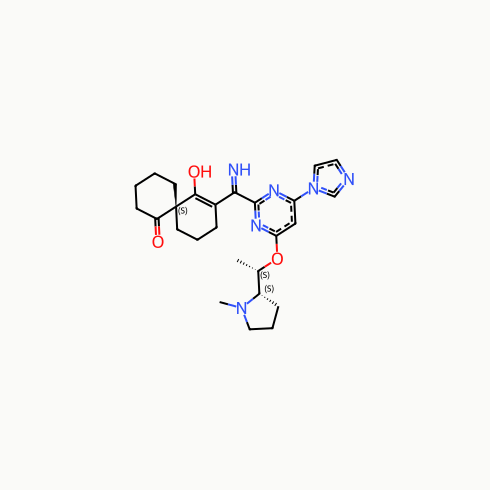 C[C@H](Oc1cc(-n2ccnc2)nc(C(=N)C2=C(O)[C@]3(CCCCC3=O)CCC2)n1)[C@@H]1CCCN1C